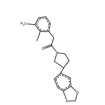 Cc1cccc(CC(=O)N2CCC(c3ccc4c(c3)OCO4)C2)c1F